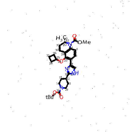 COC(=O)N1c2ccc(-c3c[nH]c(C4CCN(C(=O)OC(C)(C)C)CC4)n3)c(OC3CCC3)c2CC[C@@H]1C